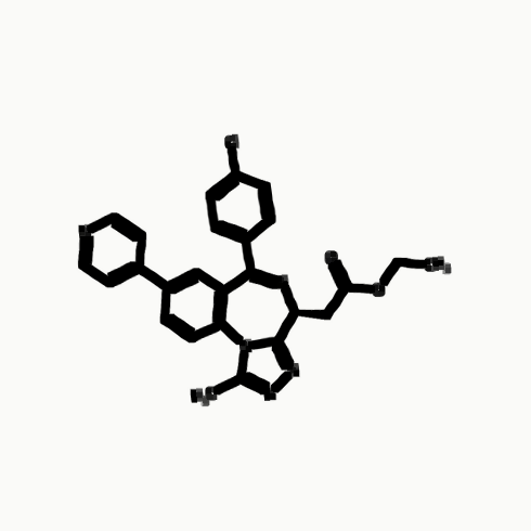 CCOC(=O)C[C@@H]1N=C(c2ccc(Cl)cc2)c2cc(-c3ccncc3)ccc2-n2c(C)nnc21